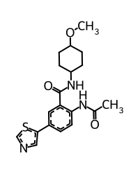 COC1CCC(NC(=O)c2cc(-c3cncs3)ccc2NC(C)=O)CC1